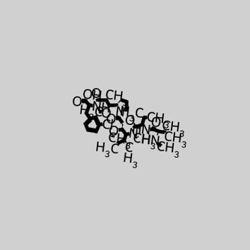 CC[C@H](C)C([C@@H](CC(=O)N1CCC[C@H]1[C@H](OC)[C@@H](C)C(=O)NC(Cc1cccc(Cl)c1)C(=O)O)OC)N(C)C(=O)[C@@H](NC(=O)[C@@H](NC)C(C)C)C(C)C